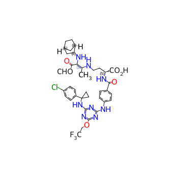 C/C(NCC[C@H](NC(=O)c1ccc(Nc2nc(NC3(c4ccc(Cl)cc4)CC3)nc(OCC(F)(F)F)n2)cc1)C(=O)O)=C(/N[C@@H]1C[C@H]2CC[C@@H]1C2)C(=O)C=O